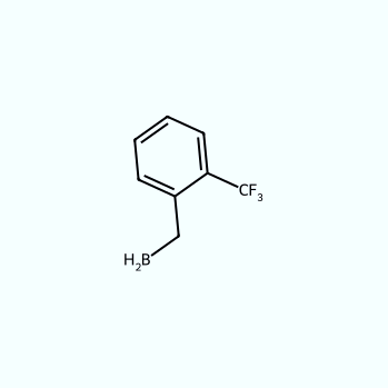 BCc1ccccc1C(F)(F)F